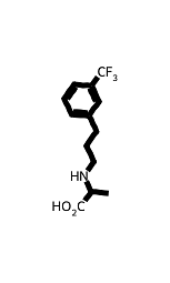 CC(NCCCc1cccc(C(F)(F)F)c1)C(=O)O